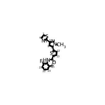 Cn1nc(-c2nccs2)cc1-c1ccc(C(=O)Nc2c(F)cccc2F)s1